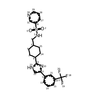 O=S(=O)(NCC1CCC(c2nc(-c3cccc(C(F)(F)F)c3)c[nH]2)CC1)c1cccnc1